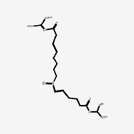 CCCCCCCCC(CCC)OC(=O)CCCCCN(CC)CCCCCCCC(=O)OC(CCCCCCCC)CCCCCCCC